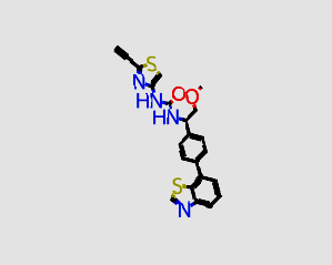 C#Cc1nc(NC(=O)NC(COC)c2ccc(-c3cccc4ncsc34)cc2)cs1